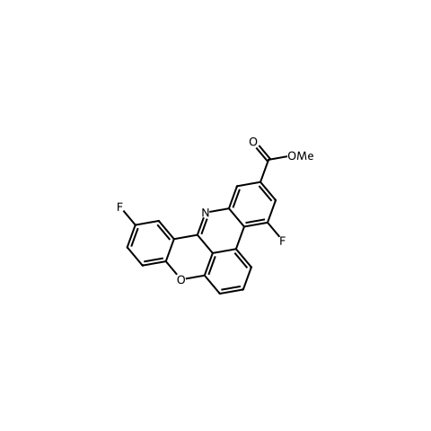 COC(=O)c1cc(F)c2c(c1)nc1c3c(cccc32)Oc2ccc(F)cc2-1